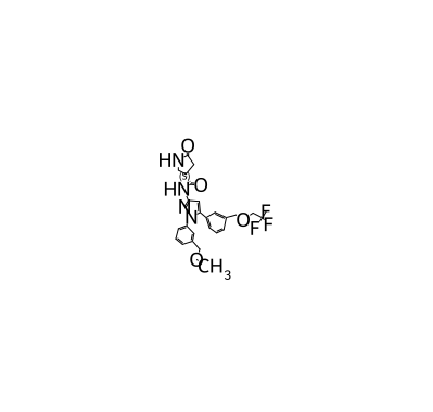 COCc1cccc(-n2nc(NC(=O)[C@@H]3CNC(=O)C3)cc2-c2cccc(COCC(F)(F)F)c2)c1